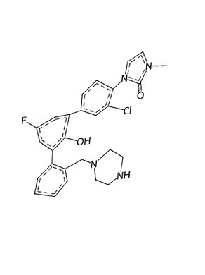 Cn1ccn(-c2ccc(-c3cc(F)cc(-c4ccccc4CN4CCNCC4)c3O)cc2Cl)c1=O